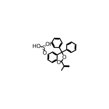 C=C(C)C(=O)OC(c1ccccc1)(c1ccccc1)c1ccccc1.O=S(O)O